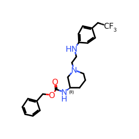 O=C(N[C@@H]1CCCN(CCNc2ccc(CC(F)(F)F)cc2)C1)OCc1ccccc1